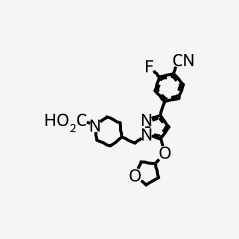 N#Cc1ccc(-c2cc(OC3CCOC3)n(CC3CCN(C(=O)O)CC3)n2)cc1F